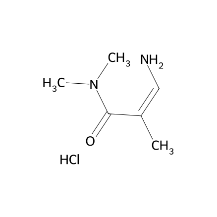 CC(=CN)C(=O)N(C)C.Cl